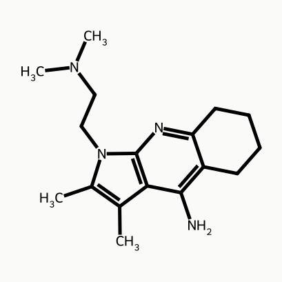 Cc1c(C)n(CCN(C)C)c2nc3c(c(N)c12)CCCC3